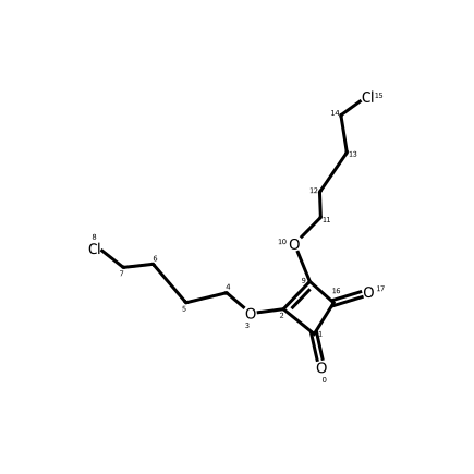 O=c1c(OCCCCCl)c(OCCCCCl)c1=O